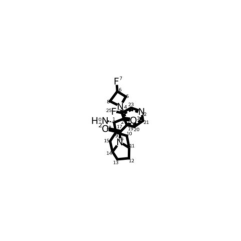 N[C@H](C(=O)N1CC(F)C1)C1CC2CCC(C1)N2C(=O)c1ccncc1F